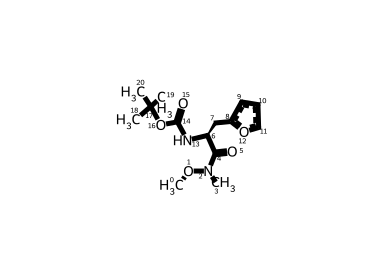 CON(C)C(=O)[C@H](Cc1ccco1)NC(=O)OC(C)(C)C